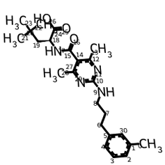 Cc1cccc(CCCNc2nc(C)c(C(=O)N[C@@H](CC(C)(C)C)C(=O)O)c(C)n2)c1